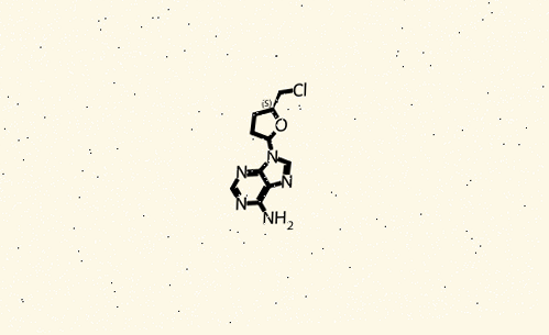 Nc1ncnc2c1ncn2C1CC[C@@H](CCl)O1